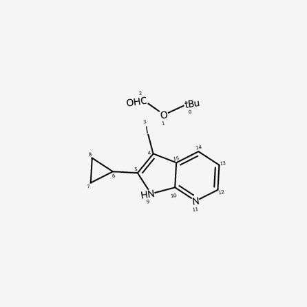 CC(C)(C)OC=O.Ic1c(C2CC2)[nH]c2ncccc12